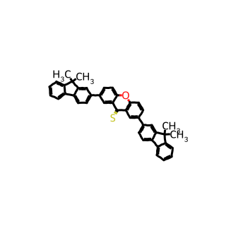 CC1(C)c2ccccc2-c2ccc(-c3ccc4oc5ccc(-c6ccc7c(c6)C(C)(C)c6ccccc6-7)cc5c(=S)c4c3)cc21